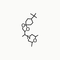 CC1CN(C(C)C2COC3(CCC(C(C)(C)C)CC3)O2)CC(C)O1